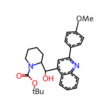 COc1ccc(-c2cc(C(O)C3CCCCN3C(=O)OC(C)(C)C)c3ccccc3n2)cc1